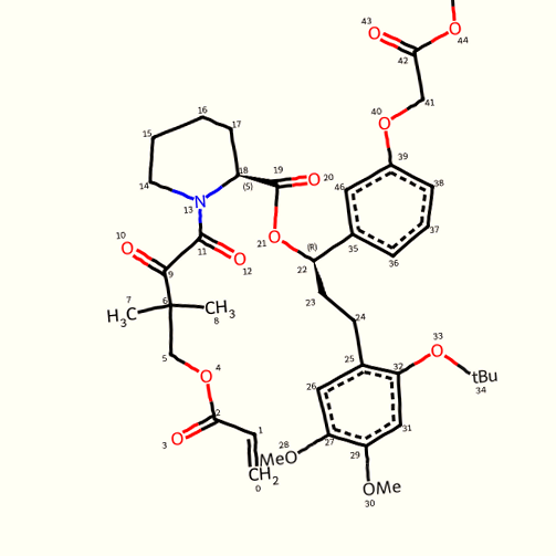 C=CC(=O)OCC(C)(C)C(=O)C(=O)N1CCCC[C@H]1C(=O)O[C@H](CCc1cc(OC)c(OC)cc1OC(C)(C)C)c1cccc(OCC(=O)OC(C)(C)C)c1